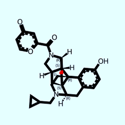 O=C(c1cc(=O)cco1)N1C[C@H]2C[C@@]34CC[C@@H]1[C@@H]2[C@@]31CCN(CC2CC2)[C@@H]4Cc2ccc(O)cc21